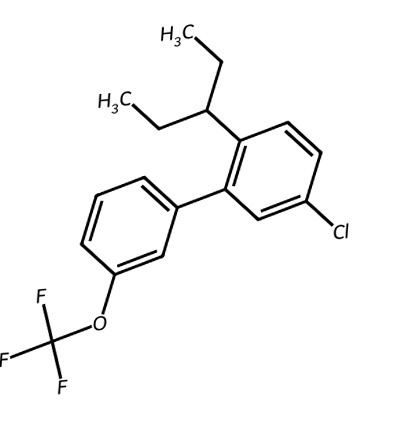 CCC(CC)c1ccc(Cl)cc1-c1cccc(OC(F)(F)F)c1